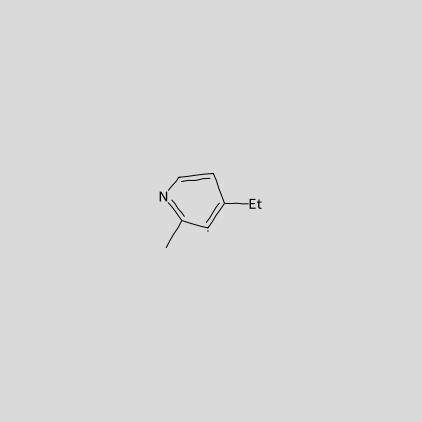 CCc1[c]c(C)ncc1